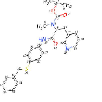 CN(C(=O)OC(C)(C)C)C(Cc1cccnc1)C(=O)Nc1ccc(SCc2ccccc2)cc1